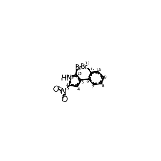 O=[N+]([O-])c1cc(-c2ccccc2Br)c(Br)[nH]1